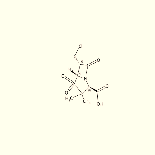 CC1(C)[C@H](C(=O)O)N2C(=O)[C@@H](CCl)[C@H]2S1(=O)=O